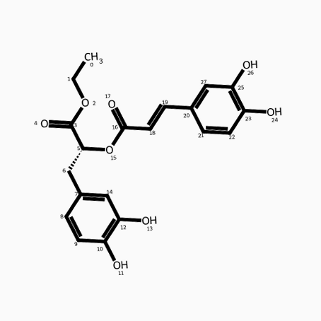 CCOC(=O)[C@@H](Cc1ccc(O)c(O)c1)OC(=O)/C=C/c1ccc(O)c(O)c1